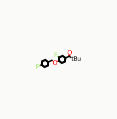 CC(C)(C)C(=O)c1ccc(OCc2ccc(F)cc2)c(F)c1